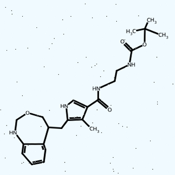 Cc1c(C(=O)NCCNC(=O)OC(C)(C)C)c[nH]c1CC1COCNc2ccccc21